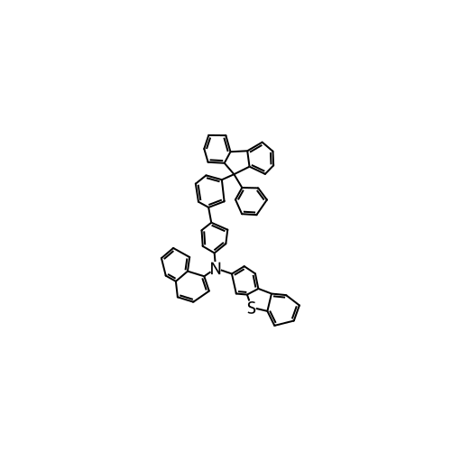 c1ccc(C2(c3cccc(-c4ccc(N(c5ccc6c(c5)sc5ccccc56)c5cccc6ccccc56)cc4)c3)c3ccccc3-c3ccccc32)cc1